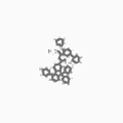 C=C/C(=C\c1c(C)n(-c2ccccc2)c2ccc(-c3ccccc3)cc12)c1ccc2c(c1)C(c1ccccc1)(c1ccccc1)c1cccc(-c3ccc(F)cc3)c1-2